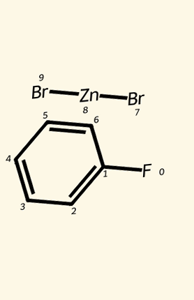 Fc1cc[c]cc1.[Br][Zn][Br]